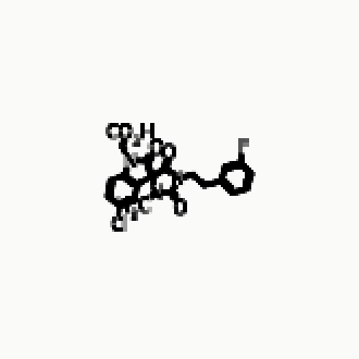 CN1C(=O)N(CCc2cccc(F)c2)C(=O)C12C(=O)N(CC(=O)O)c1ccc(Cl)cc12